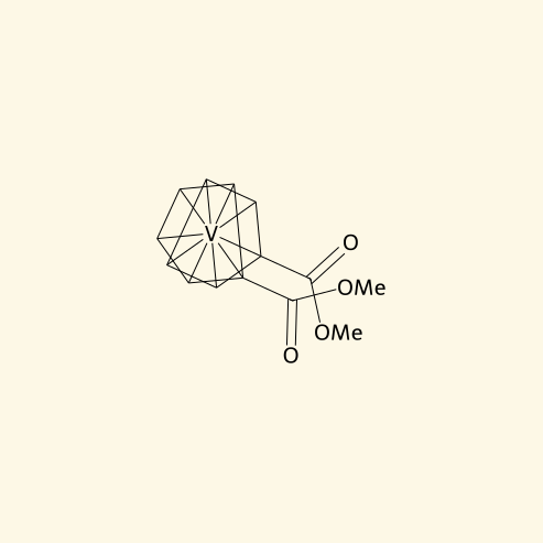 COC(=O)[C]12[CH]3[CH]4[CH]5[CH]1[V]45321678[CH]2[CH]1[CH]6[C]7(C(=O)OC)[CH]28